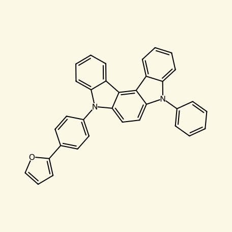 c1ccc(-n2c3ccccc3c3c4c5ccccc5n(-c5ccc(-c6ccco6)cc5)c4ccc32)cc1